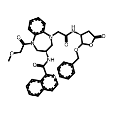 COCC(=O)N1C[C@H](NC(=O)c2nccc3ccccc23)CN(CC(=O)N[C@H]2CC(=O)OC2OCc2ccccc2)c2ccccc21